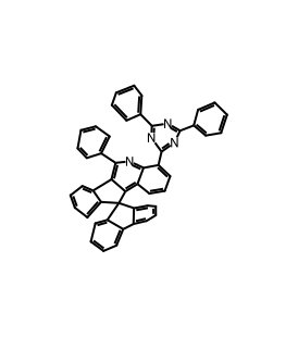 c1ccc(-c2nc(-c3ccccc3)nc(-c3cccc4c5c(c(-c6ccccc6)nc34)-c3ccccc3C53c4ccccc4-c4ccccc43)n2)cc1